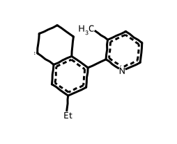 CCc1cc2c(c(-c3ncccc3C)c1)CCC[C]2